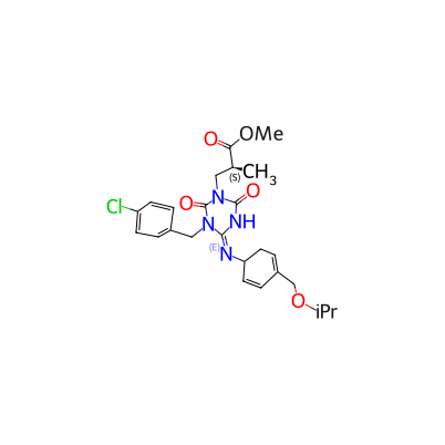 COC(=O)[C@@H](C)Cn1c(=O)[nH]/c(=N\C2C=CC(COC(C)C)=CC2)n(Cc2ccc(Cl)cc2)c1=O